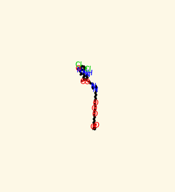 C=Nc1cc(OCCCN2CCN(CCCCCCOCCOCCOCCCCCC(=O)OC(C)(C)C)CC2)c(OC)cc1/C(Nc1cc(OC)c(Cl)cc1Cl)=C(\C)C#N